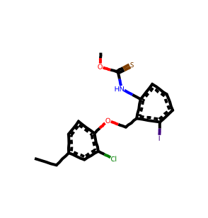 CCc1ccc(OCc2c(I)cccc2NC(=S)OC)c(Cl)c1